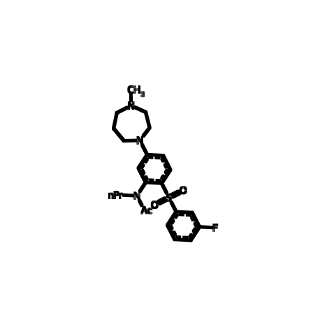 CCCN(C(C)=O)c1cc(N2CCCN(C)CC2)ccc1S(=O)(=O)c1cccc(F)c1